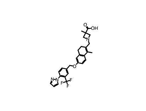 CC1=C(CN2CC(C)(C(=O)O)C2)CCc2cc(OCc3ccc(-n4cccn4)c(C(F)(F)F)c3)ccc21